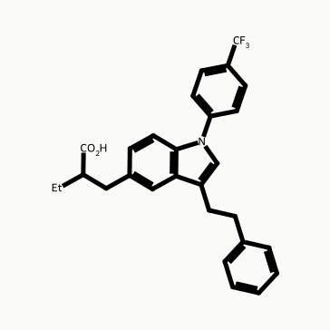 CCC(Cc1ccc2c(c1)c(CCc1ccccc1)cn2-c1ccc(C(F)(F)F)cc1)C(=O)O